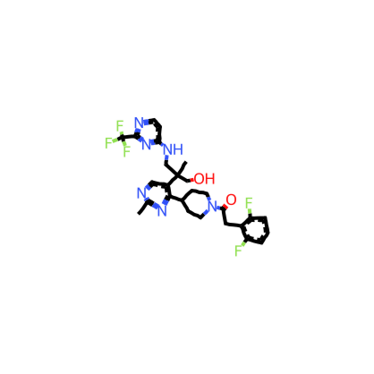 Cc1ncc(C(C)(CO)CNc2ccnc(C(F)(F)F)n2)c(C2CCN(C(=O)Cc3c(F)cccc3F)CC2)n1